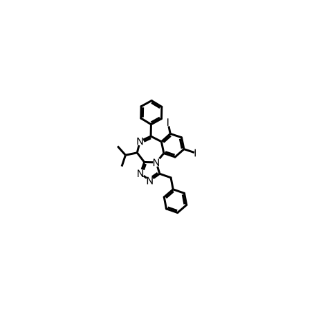 CC(C)C1N=C(c2ccccc2)c2c(I)cc(I)cc2-n2c(Cc3ccccc3)nnc21